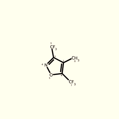 Cc1c(C(F)(F)F)noc1C(F)(F)F